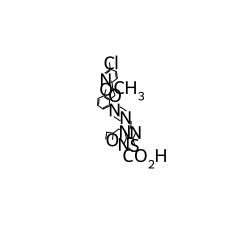 CC1(c2ccc(Cl)cn2)Oc2cccc(N3CCN(Cc4nc5sc(C(=O)O)nc5n4CC4CCO4)CC3)c2O1